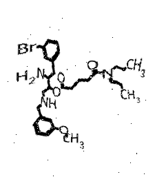 CCCN(CCC)C(=O)CCCC(=O)OC(CNCc1cccc(OC)c1)C(N)Cc1cccc(Br)c1